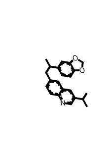 CC(C)c1cnc2ccc(CC(C)c3ccc4c(c3)OCO4)cc2c1